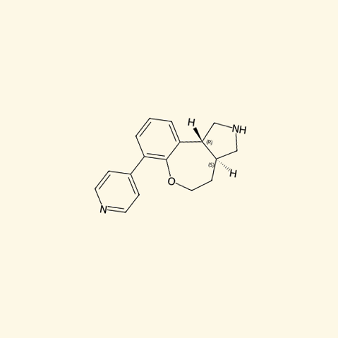 c1cc(-c2ccncc2)c2c(c1)[C@@H]1CNC[C@H]1CCO2